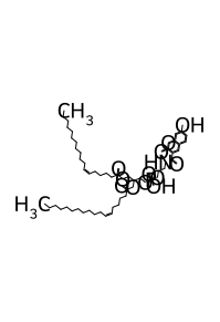 CCCCCCCCCCC/C=C\CCCCC(=O)OCC(COP(=O)(O)OCCNC(=O)c1cc2ccc(O)cc2oc1=O)OC(=O)CCCC/C=C\CCCCCCCCCCC